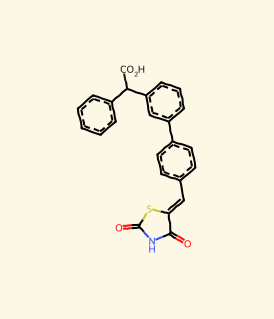 O=C1NC(=O)C(=Cc2ccc(-c3cccc(C(C(=O)O)c4ccccc4)c3)cc2)S1